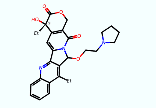 CCc1c2c(nc3ccccc13)-c1cc3c(c(=O)n1C2OCCN1CCCC1)COC(=O)[C@]3(O)CC